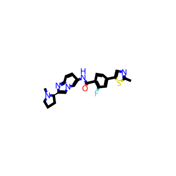 Cc1ncc(-c2ccc(C(=O)Nc3ccc4nc([C@H]5CCCN5C)cn4c3)c(F)c2)s1